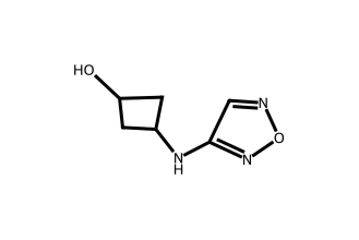 OC1CC(Nc2cnon2)C1